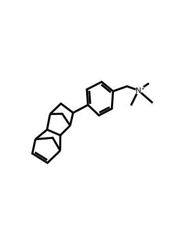 C[N+](C)(C)Cc1ccc(C2CC3CC2C2C4C=CC(C4)C32)cc1